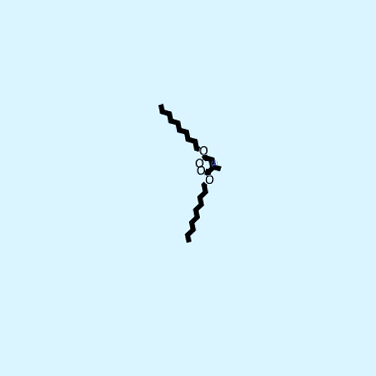 CCCCCCCCCCOC(=O)/C=C(/C)C(=O)OCCCCCCCCCC